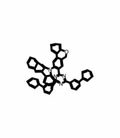 c1ccc(-c2cccc(-c3nc(-c4cccc(-c5ccccc5)c4)nc(-c4cc5c(cc4-n4c6ccccc6c6cc7ccccc7cc64)-c4ccccc4OC5)n3)c2)cc1